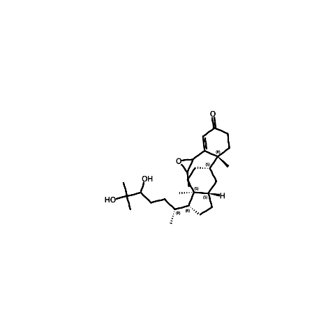 CC1OC1C1=CC(=O)CC[C@]1(C)[C@H]1CC[C@@]2(C)[C@@H](CC[C@@H]2[C@H](C)CCC(O)C(C)(C)O)C1